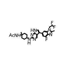 CC(=O)NC1(C)CCC(Nc2ncc3c(-c4cc(F)c5nc(C)n(CC(F)F)c5c4)c[nH]c3n2)CC1